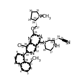 Cc1cccc2cccc(-c3ncc4c(N5CCN[C@@H](CC#N)C5)nc(OC[C@@H]5CCCN5C)nc4c3Cl)c12